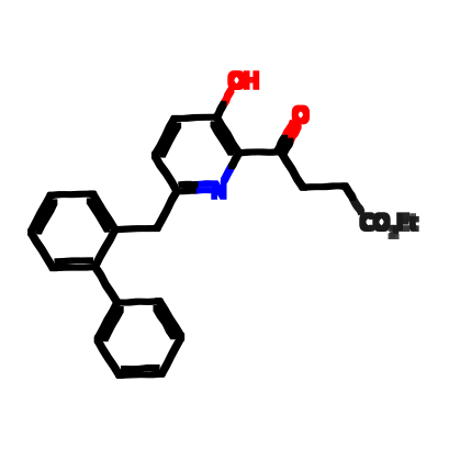 CCOC(=O)CCC(=O)c1nc(Cc2ccccc2-c2ccccc2)ccc1O